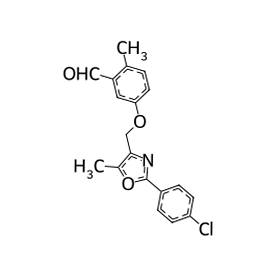 Cc1ccc(OCc2nc(-c3ccc(Cl)cc3)oc2C)cc1C=O